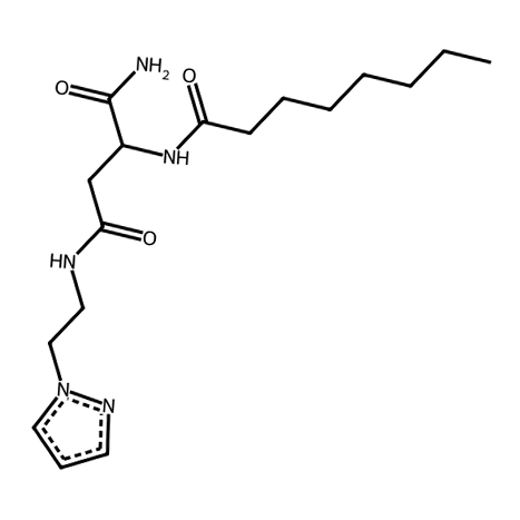 CCCCCCCC(=O)NC(CC(=O)NCCn1cccn1)C(N)=O